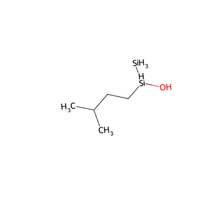 CC(C)CC[SiH](O)[SiH3]